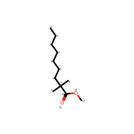 CCCCCCCC(C)(C)C(=O)OC